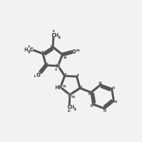 CC1=C(C)C(=O)N(C2CC(c3ccccc3)N(C)N2)C1=O